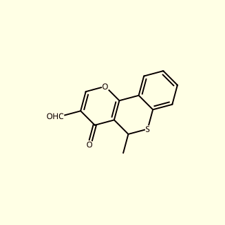 CC1Sc2ccccc2-c2occ(C=O)c(=O)c21